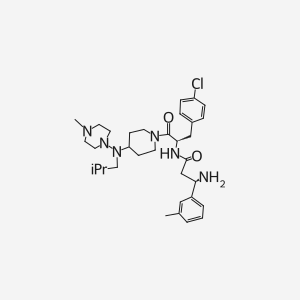 Cc1cccc([C@H](N)CC(=O)N[C@H](Cc2ccc(Cl)cc2)C(=O)N2CCC(N(CC(C)C)N3CCN(C)CC3)CC2)c1